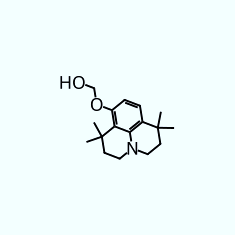 CC1(C)CCN2CCC(C)(C)c3c(OCO)ccc1c32